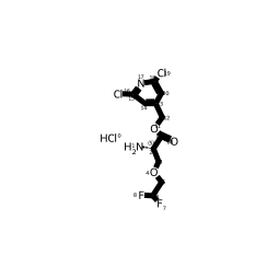 Cl.N[C@@H](COCC(F)F)C(=O)OCc1cc(Cl)nc(Cl)c1